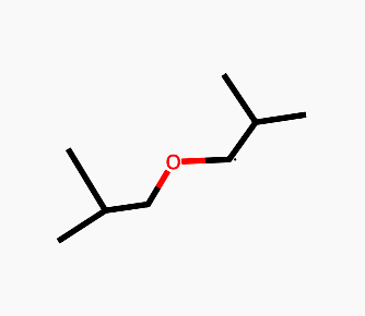 CC(C)[CH]OCC(C)C